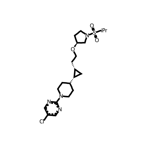 CC(C)S(=O)(=O)N1CC[C@H](OCC[C@@H]2C[C@@H]2C2CCN(c3ncc(Cl)cn3)CC2)C1